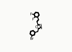 Fc1cccc(/C=C/c2nnc(Cc3cccc(Br)c3)o2)c1F